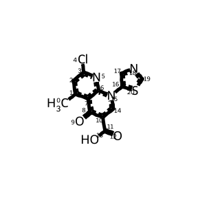 Cc1cc(Cl)nc2c1c(=O)c(C(=O)O)cn2-c1cncs1